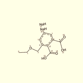 CCOCc1cccc(C(=O)O)c1C(=O)O.[NaH].[NaH]